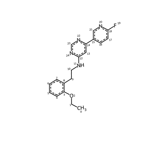 CCOc1ccccc1CCNc1cc(-c2ccc(F)nc2)ncn1